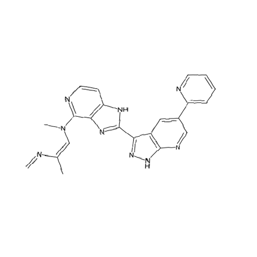 C=N/C(C)=C\N(C)c1nccc2[nH]c(-c3n[nH]c4ncc(-c5ccccn5)cc34)nc12